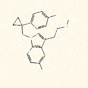 CNCCc1cn(CC2(c3ccc(F)cc3)CC2)c2ccc(Cl)cc12